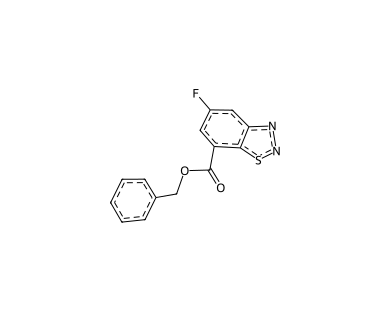 O=C(OCc1ccccc1)c1cc(F)cc2nnsc12